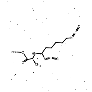 CCCCOC(=O)[C@H](C)NC(CCCCCN=C=O)N=C=O